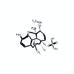 CN1CC[C@]23c4c5ccc(O)c4O[C@H]2[C@@H](O)C=C[C@H]3[C@H]1C5.CO.O=S(=O)(O)O